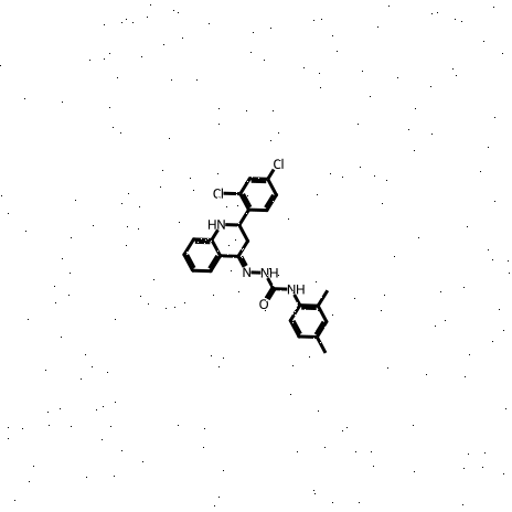 Cc1ccc(NC(=O)NN=C2CC(c3ccc(Cl)cc3Cl)Nc3ccccc32)c(C)c1